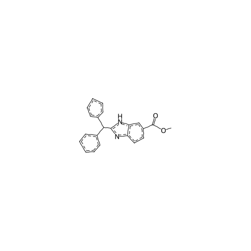 COC(=O)c1ccc2nc(C(c3ccccc3)c3ccccc3)[nH]c2c1